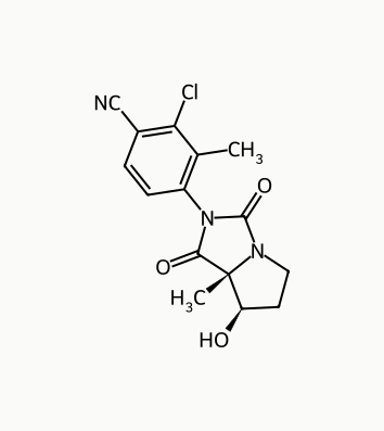 Cc1c(N2C(=O)N3CC[C@@H](O)[C@]3(C)C2=O)ccc(C#N)c1Cl